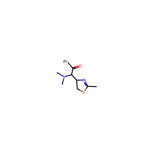 CC1=NC(C(C(=O)C(C)C)N(C)C)CS1